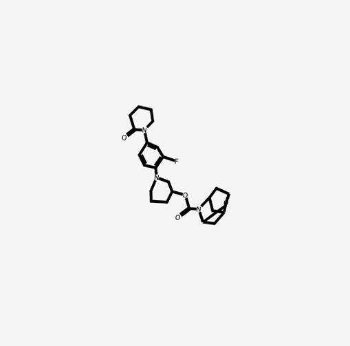 O=C1CCCCN1c1ccc(N2CCCC(OC(=O)N3C4CC5CC3CC(C4)O5)C2)c(F)c1